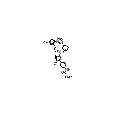 CC(=O)OCC(=O)Nc1ccc(-c2cc([C@H](Cc3ccccc3)NC(=O)/C=C/c3cc(Cl)ccc3-n3cnnn3)nnc2Cl)cc1